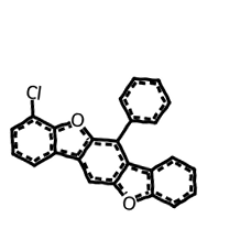 Clc1cccc2c1oc1c(-c3ccccc3)c3c(cc12)oc1ccccc13